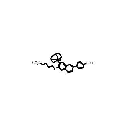 CCOC(=O)CCCCOc1cc2ccc(-c3ccc(C(=O)O)cc3)cc2cc1C12CC3CC(CC(C3)C1)C2